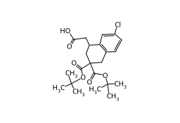 CC(C)(C)OC(=O)C1(C(=O)OC(C)(C)C)Cc2ccc(Cl)cc2C(CC(=O)O)C1